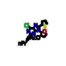 CCCC#Cc1nc(Cl)c2nc(-c3cccs3)n([C@@H]3OCC[C@H]3OC(C)=O)c2n1